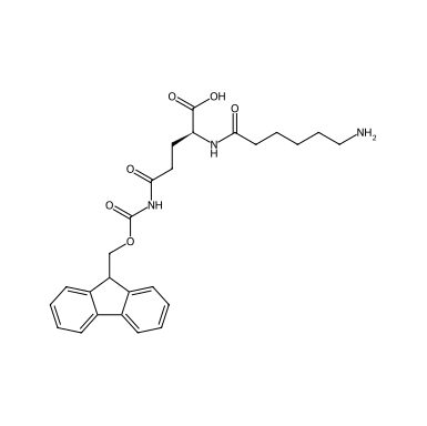 NCCCCCC(=O)N[C@@H](CCC(=O)NC(=O)OCC1c2ccccc2-c2ccccc21)C(=O)O